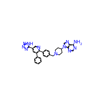 Nc1ncnc2c1ncn2C1CCN(Cc2ccc(-c3ncc(-c4nnn[nH]4)cc3-c3ccccc3)cc2)CC1